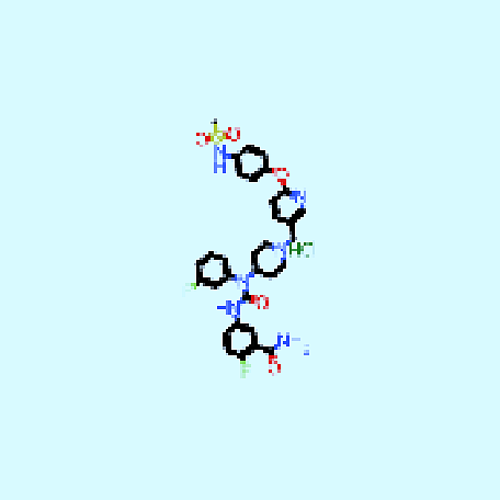 CS(=O)(=O)Nc1ccc(Oc2ccc(CN3CCC(N(C(=O)Nc4ccc(F)c(C(N)=O)c4)c4cccc(F)c4)CC3)cn2)cc1.Cl